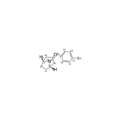 CN1[C@@H]2CC[C@H]1C[C@H](Oc1ccc(I)cc1)C2